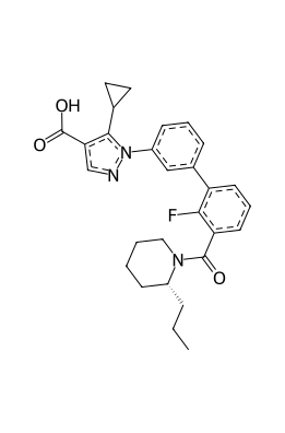 CCC[C@@H]1CCCCN1C(=O)c1cccc(-c2cccc(-n3ncc(C(=O)O)c3C3CC3)c2)c1F